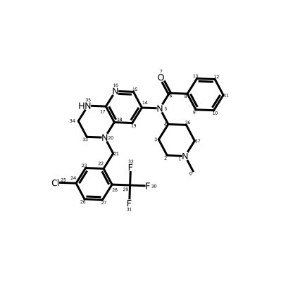 CN1CCC(N(C(=O)c2ccccc2)c2cnc3c(c2)N(Cc2cc(Cl)ccc2C(F)(F)F)CCN3)CC1